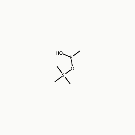 CB(O)O[Si](C)(C)C